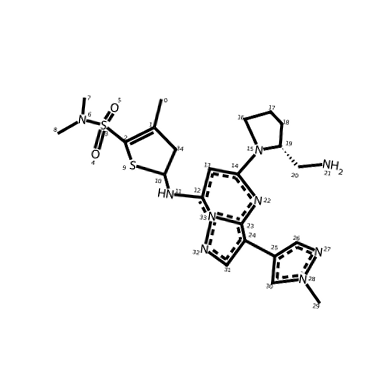 CC1=C(S(=O)(=O)N(C)C)SC(Nc2cc(N3CCC[C@@H]3CN)nc3c(-c4cnn(C)c4)cnn23)C1